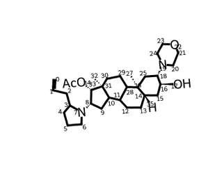 C=CCC1CCCN1[C@H]1CC2C3CC[C@H]4C[C@H](O)[C@@H](N5CCOCC5)C[C@]4(C)C3CC[C@]2(C)[C@H]1OC(C)=O